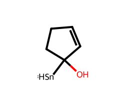 O[C]1([SnH])C=CCC1